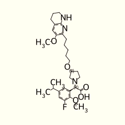 COc1cc2c(nc1CCCCCO[C@@H]1CCN([C@@H](C(=O)O)c3cc(C(C)C)cc(F)c3OC)C1)NCCC2